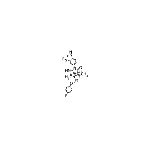 C[C@]12O[C@](C)(C[C@H]1COc1ccc(F)cc1)[C@H]1C(=O)N(c3ccc(C#N)c(C(F)(F)F)c3)C(=N)[C@H]12